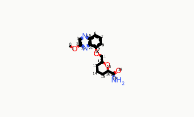 COc1cnc2cccc(OCC3CC[C]C(C(N)=O)O3)c2n1